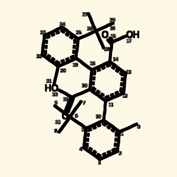 Cc1cccc(C(C)(C)C)c1-c1ccc(C(=O)O)c(-c2c(C)cccc2C(C)(C)C)c1C(=O)O